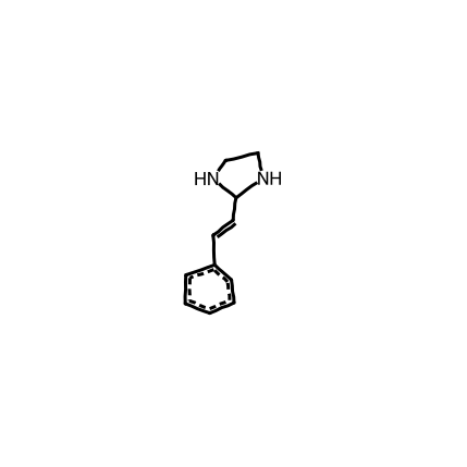 C(=CC1NCCN1)c1ccccc1